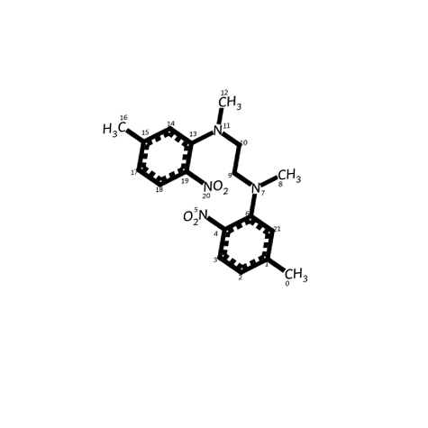 Cc1ccc([N+](=O)[O-])c(N(C)CCN(C)c2cc(C)ccc2[N+](=O)[O-])c1